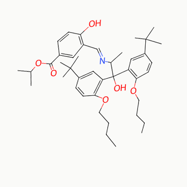 CCCCOc1ccc(C(C)(C)C)cc1C(O)(c1cc(C(C)(C)C)ccc1OCCCC)C(C)N=Cc1cc(C(=O)OC(C)C)ccc1O